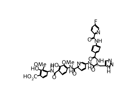 COc1c(NC(=O)c2ccc(NC(=O)c3ccc(NC(=O)[C@H](Cc4cnn[nH]4)NC(=O)c4ccc(NC(=O)c5ccc(F)cn5)cc4)cn3)c(OC)c2O)ccc(C(=O)O)c1O